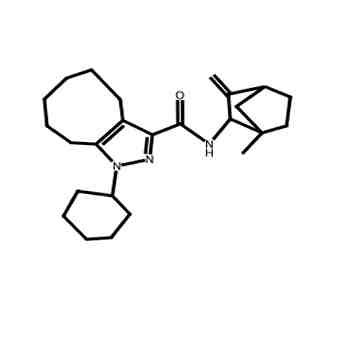 C=C1C2CCC(C)(C2)C1NC(=O)c1nn(C2CCCCC2)c2c1CCCCCC2